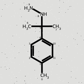 Cc1ccc(C(C)(C)NN)cc1